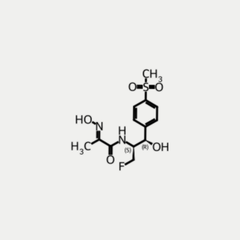 CC(=NO)C(=O)N[C@H](CF)[C@H](O)c1ccc(S(C)(=O)=O)cc1